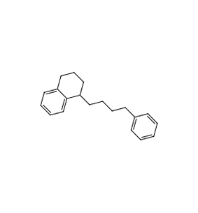 c1ccc(CCCCC2CCCc3ccccc32)cc1